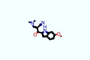 COc1ccc2cc(C(=O)C(C#N)=CN(C)C)[nH]c2c1